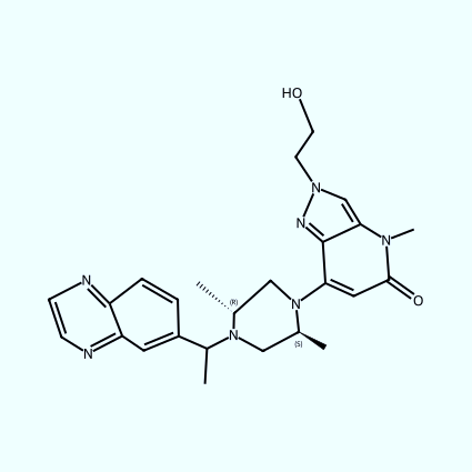 CC(c1ccc2nccnc2c1)N1C[C@H](C)N(c2cc(=O)n(C)c3cn(CCO)nc23)C[C@H]1C